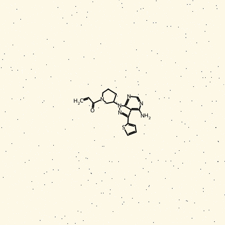 C=CC(=O)N1CCCC(n2nc(-c3cccs3)c3c(N)ncnc32)C1